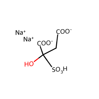 O=C([O-])CC(O)(C(=O)[O-])S(=O)(=O)O.[Na+].[Na+]